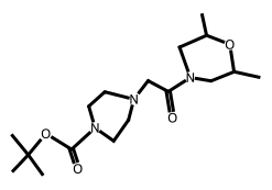 CC1CN(C(=O)CN2CCN(C(=O)OC(C)(C)C)CC2)CC(C)O1